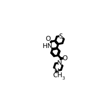 CN1CCN(C(=O)c2ccc3[nH]c(=O)c4c(c3c2)CCSC4)CC1